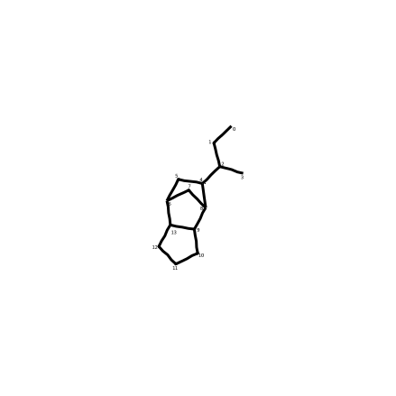 CCC(C)[C]1CC2CC1C1CCCC21